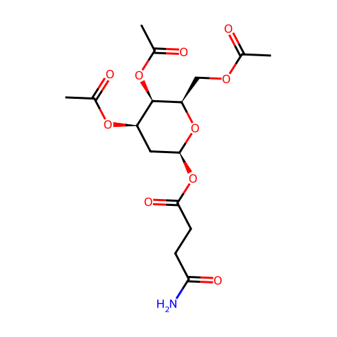 CC(=O)OC[C@H]1O[C@@H](OC(=O)CCC(N)=O)C[C@@H](OC(C)=O)[C@H]1OC(C)=O